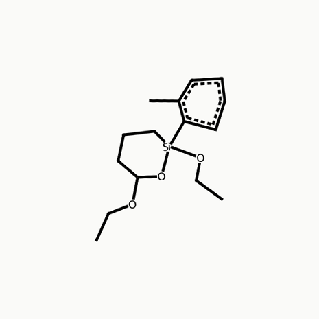 CCOC1CCC[Si](OCC)(c2ccccc2C)O1